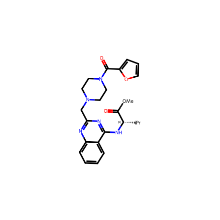 COC(=O)[C@@H](Nc1nc(CN2CCN(C(=O)c3ccco3)CC2)nc2ccccc12)C(C)C